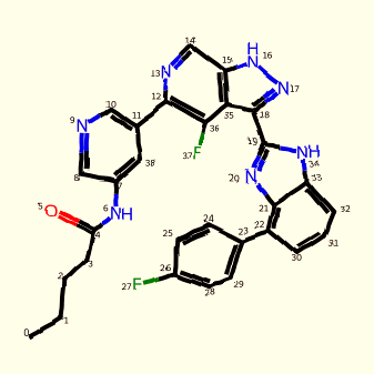 CCCCC(=O)Nc1cncc(-c2ncc3[nH]nc(-c4nc5c(-c6ccc(F)cc6)cccc5[nH]4)c3c2F)c1